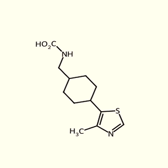 Cc1ncsc1C1CCC(CNC(=O)O)CC1